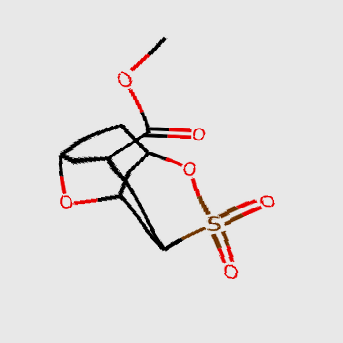 COC(=O)C1C2CC3OS(=O)(=O)C1C3O2